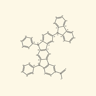 C=C(C)c1ccc2c(c1)c1cc3c4cc(-n5c6ccccc6c6ccccc65)ccc4n(-c4ccccc4)c3cc1n2-c1ccccc1